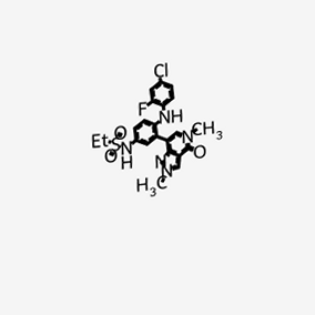 CCS(=O)(=O)Nc1ccc(Nc2ccc(Cl)cc2F)c(-c2cn(C)c(=O)c3cn(C)nc23)c1